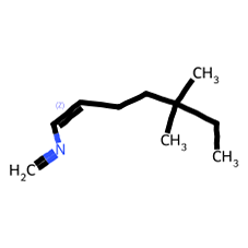 C=N/C=C\CCC(C)(C)CC